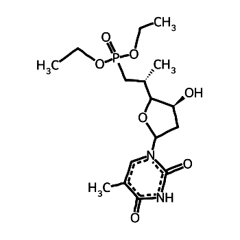 CCOP(=O)(C[C@H](C)C1OC(n2cc(C)c(=O)[nH]c2=O)C[C@@H]1O)OCC